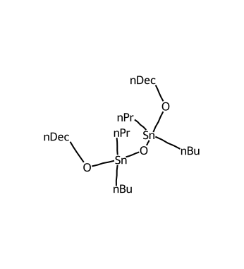 CCCCCCCCCC[O][Sn]([CH2]CC)([CH2]CCC)[O][Sn]([CH2]CC)([CH2]CCC)[O]CCCCCCCCCC